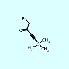 C[Si](C)(C)C#CC(=O)CBr